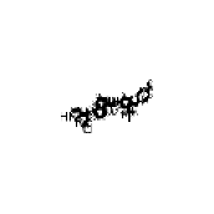 CCN1CCN(Cc2ccc(NC(=O)c3cccc4c(Oc5cc(Cl)nc6[nH]ccc56)cccc34)cc2C(F)(F)F)CC1